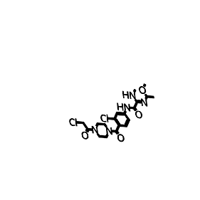 CN/C(=N\C(C)OC)C(=O)Nc1ccc(C(=O)N2CCN(C(=O)CCl)CC2)c(Cl)c1